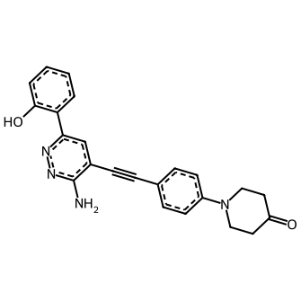 Nc1nnc(-c2ccccc2O)cc1C#Cc1ccc(N2CCC(=O)CC2)cc1